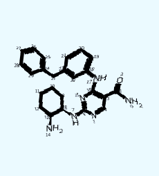 NC(=O)c1cnc(N[C@@H]2CCCC[C@@H]2N)nc1Nc1cccc(Cc2ccccc2)c1